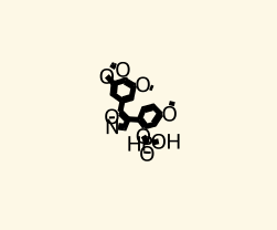 COc1ccc(-c2cnoc2-c2cc(OC)c3c(c2)OCO3)c(O[PH](=O)O)c1